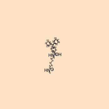 CNC(=O)CCCCCCNC(O)N1CCN(C(C2=CCCC=C2)c2ccccc2)CC1